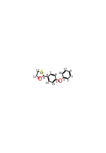 c1ccc(Oc2ccc(C3OCCS3)cc2)cc1